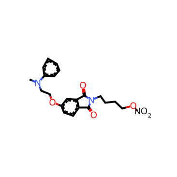 CN(CCOc1ccc2c(c1)C(=O)N(CCCCO[N+](=O)[O-])C2=O)c1ccccc1